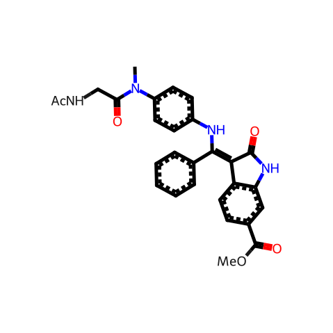 COC(=O)c1ccc2c(c1)NC(=O)/C2=C(\Nc1ccc(N(C)C(=O)CNC(C)=O)cc1)c1ccccc1